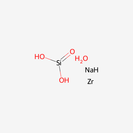 O.O=[Si](O)O.[NaH].[Zr]